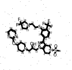 CS(=O)(=O)N1CCc2c(c(-c3ccc(C(F)(F)F)c(SCCN4CCC(F)(F)C4)c3)nn2CC(O)CN2CCC(Oc3ncccn3)CC2)C1